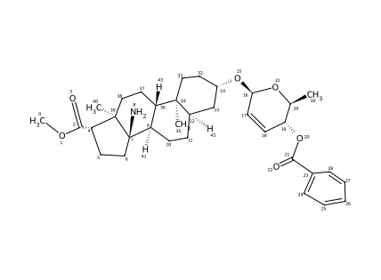 COC(=O)[C@H]1CC[C@@]2(N)[C@@H]3CC[C@@H]4C[C@@H](O[C@@H]5C=C[C@@H](OC(=O)c6ccccc6)[C@H](C)O5)CC[C@]4(C)[C@H]3CC[C@]12C